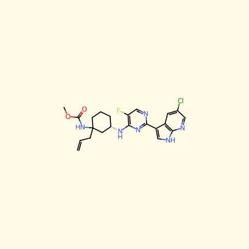 C=CCC1(NC(=O)OC)CCC[C@H](Nc2nc(-c3c[nH]c4ncc(Cl)cc34)ncc2F)C1